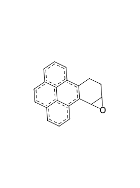 c1cc2ccc3cccc4c5c(c(c1)c2c34)CCC1OC51